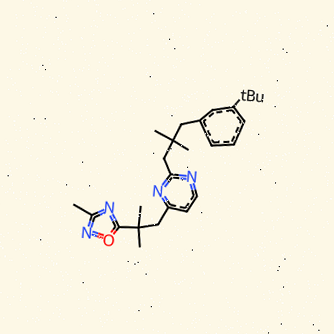 Cc1noc(C(C)(C)Cc2ccnc(CC(C)(C)Cc3cccc(C(C)(C)C)c3)n2)n1